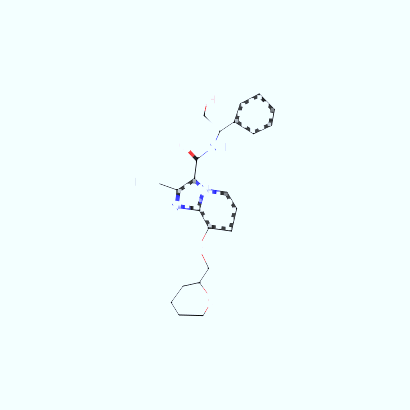 Cc1nc2c(OCC3CCCCO3)cccn2c1C(=O)N[C@@H](CO)c1ccccc1